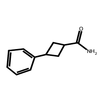 NC(=O)C1CC(c2ccccc2)C1